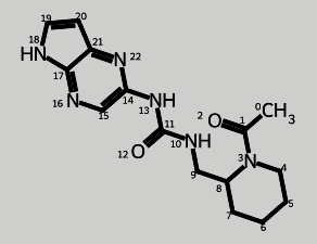 CC(=O)N1CCCCC1CNC(=O)Nc1cnc2[nH]ccc2n1